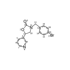 O=C1OC(c2cccnc2)CN1Cc1ccc(Br)cc1